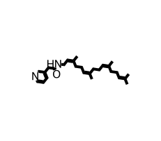 CC(C)=CCCC(C)=CCCC(C)=CCCC(C)=CCNC(=O)Cc1cccnc1